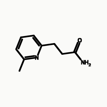 Cc1cccc(CCC(N)=O)n1